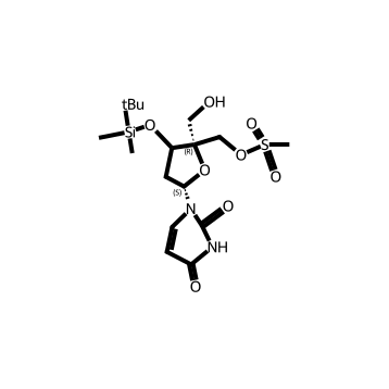 CC(C)(C)[Si](C)(C)OC1C[C@@H](n2ccc(=O)[nH]c2=O)O[C@]1(CO)COS(C)(=O)=O